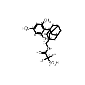 Cc1cc(C)c(C23CC4CC(CC(COC(=O)C(F)(F)S(=O)(=O)O)(C4)C2)C3)c(C)c1